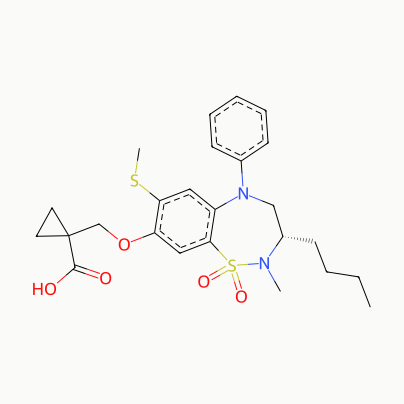 CCCC[C@H]1CN(c2ccccc2)c2cc(SC)c(OCC3(C(=O)O)CC3)cc2S(=O)(=O)N1C